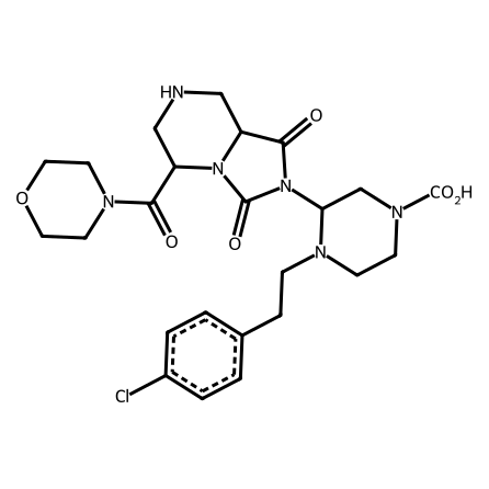 O=C(O)N1CCN(CCc2ccc(Cl)cc2)C(N2C(=O)C3CNCC(C(=O)N4CCOCC4)N3C2=O)C1